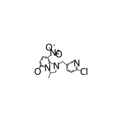 CC1CN(Cc2ccc(Cl)nc2)c2c([N+](=O)[O-])ccc(=O)n21